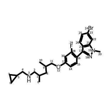 CC(CNCC1CC1)CC(C)COc1ccc(-c2nn(C)c3cc(Br)ccc23)c(F)c1